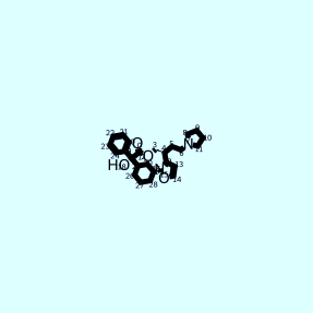 O=C(OC[C@H](CCN1CCCC1)c1ccon1)C(O)(c1ccccc1)C1CCCCC1